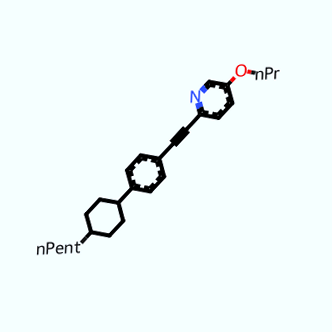 CCCCCC1CCC(c2ccc(C#Cc3ccc(OCCC)cn3)cc2)CC1